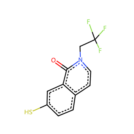 O=c1c2cc(S)ccc2ccn1CC(F)(F)F